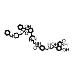 O=C(NCc1ncc(-c2cccc(C(O)(C(=O)OCC3CCN(Cc4ccccc4)CC3)c3ccccc3)c2)cn1)c1ccc(CNCC(O)c2ccc(O)c3[nH]c(=O)ccc23)cc1